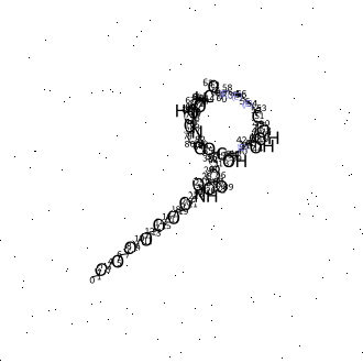 CCOCCOCCOCCOCCOCCOCCOCCNC(=O)O[C@@H]1CC[C@@H](C[C@@H](C)C2C[C@@H](O)C(C)/C=C(\C)[C@@H](O)[C@@H](O)C(=O)C(C)CC(C)/C=C/C=C/C=C(\C)[C@@H](OC)C[C@@H]3CC[C@@H](C)[C@@](O)(O3)C(=O)C(=O)N3CCCCC3C(=O)O2)C[C@H]1OC